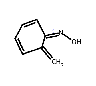 C=C1C=CC=C/C1=N/O